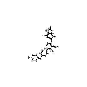 C=N/C(Oc1cc(F)c2[nH]c(C)cc2c1F)=C(C#N)\C(=N/C)Nc1ccc(CN2CCNCC2)cn1